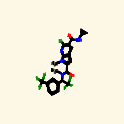 CN(C(=O)c1cc2cc(C(=O)NC3CC3)c(Cl)nc2n1C)C(c1cccc(C(F)(F)F)c1)C(F)(F)F